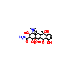 CN(C)[C@@H]1C(O)C(C(N)=O)C(=O)[C@@]2(O)C(O)=C3C(=O)c4c(O)cccc4[C@@](C)(O)C3C[C@@H]12